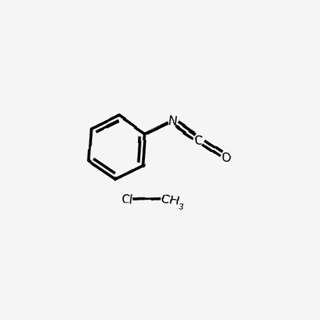 CCl.O=C=Nc1ccccc1